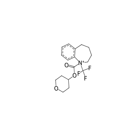 O=C(OC1CCOCC1)[N+]1(C(F)(F)F)CCCCc2ccccc21